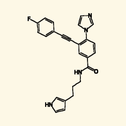 O=C(NCCCc1cc[nH]c1)c1ccc(-n2ccnc2)c(C#Cc2ccc(F)cc2)c1